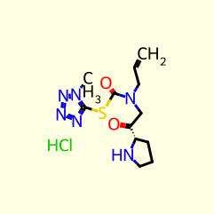 C=CCN(CC(=O)[C@@H]1CCCN1)C(=O)Sc1nnnn1C.Cl